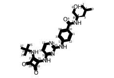 CC(C)C[C@H](CO)NC(=O)c1ccc(Nc2nccc(Nc3c(NC(C)(C)C)c(=O)c3=O)n2)cc1